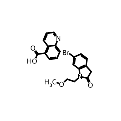 COCCN1C(=O)Cc2ccc(Br)cc21.O=C(O)c1cccc2ncccc12